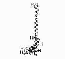 CCCCCCCCCCCCCCCCCCNC(=O)CC(O)COP(=O)(O)OC(C)(C)C(C)N